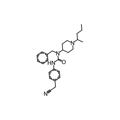 CCCC(C)N1CCC(N(Cc2ccccc2)C(=O)Nc2ccc(CC#N)cc2)CC1